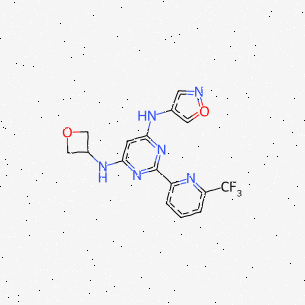 FC(F)(F)c1cccc(-c2nc(Nc3cnoc3)cc(NC3COC3)n2)n1